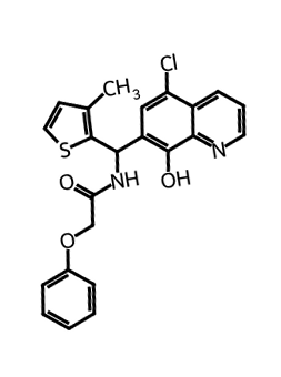 Cc1ccsc1C(NC(=O)COc1ccccc1)c1cc(Cl)c2cccnc2c1O